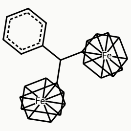 c1ccc(C([C]23[CH]4[CH]5[CH]6[CH]2[Fe]56432789[CH]3[CH]2[CH]7[CH]8[CH]39)[C]23[CH]4[CH]5[CH]6[CH]2[Fe]56432789[CH]3[CH]2[CH]7[CH]8[CH]39)cc1